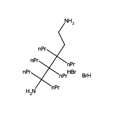 Br.Br.CCCC(N)(CCC)C(CCC)(CCC)C(CCC)(CCC)CCN